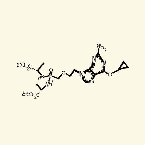 CCOC(=O)[C@H](C)NP(=O)(COCCn1cnc2c(OC3CC3)nc(N)nc21)N[C@@H](C)C(=O)OCC